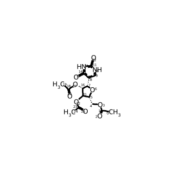 CC(=O)OC[C@H]1O[C@@H](c2c[nH]c(=O)[nH]c2=O)[C@@H](OC(C)=O)C1OC(C)=O